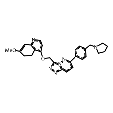 COC1=Cc2nccc(OCc3nnc4ccc(-c5ccc(CN6CCCC6)cc5)nn34)c2CC1